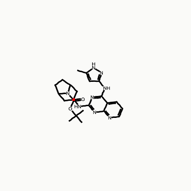 Cc1cc(Nc2nc(NC3CC4CCC(C3)N4C(=O)OC(C)(C)C)nc3ncccc23)n[nH]1